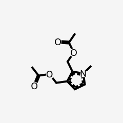 CC(=O)OCc1ccn(C)c1COC(C)=O